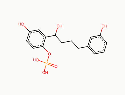 O=P(O)(O)Oc1ccc(O)cc1C(O)CCCc1cccc(O)c1